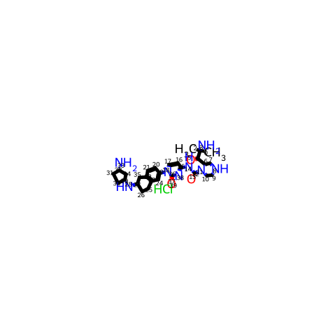 CC(C)(N)C(=O)C1CNCCN1C(=O)Nc1ccn(-c2ccc3c(c2)CCC(N[C@H]2CC[C@H](N)C2)C3)c(=O)n1.Cl